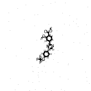 COC(=O)c1ccc(-c2ncn(-c3ccc(OC(F)(F)F)cc3)n2)cc1OC